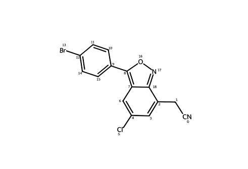 N#CCc1cc(Cl)cc2c(-c3ccc(Br)cc3)onc12